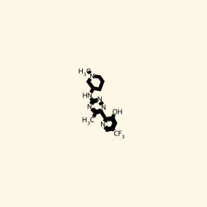 Cc1nc(NC2CCCN(C)C2)nnc1-c1ncc(C(F)(F)F)cc1O